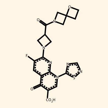 O=C(O)c1cn(-c2ncns2)c2nc(N3CC(C(=O)N4CC5(CCO5)C4)C3)c(F)cc2c1=O